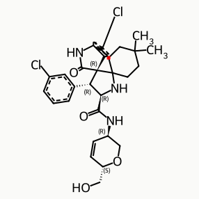 CC1(C)CCC2(CC1)N[C@@H](C(=O)N[C@@H]1C=C[C@@H](CO)OC1)[C@H](c1cccc(Cl)c1)[C@]21C(=O)Nc2cc(Cl)ccc21